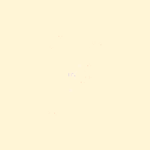 COc1ccc(C(C)/C(=C(\NC(=O)/C=C/c2ccc(O[Si](C)(C)C(C)(C)C)cc2)C(=O)O)c2ccc(O[Si](C)(C)C(C)(C)C)cc2)cc1OC